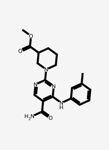 COC(=O)C1CCCN(c2ncc(C(N)=O)c(Nc3cccc(C)c3)n2)C1